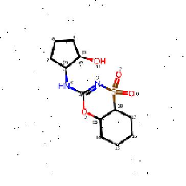 O=S1(=O)N=C(N[C@H]2CCC[C@H]2O)OC2CCCCC21